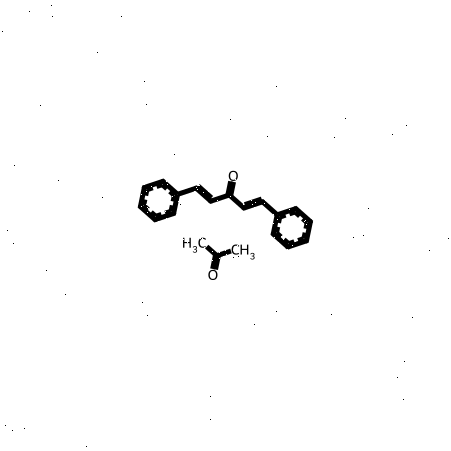 CC(C)=O.O=C(C=Cc1ccccc1)C=Cc1ccccc1